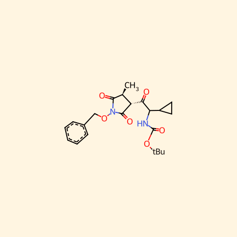 C[C@@H]1C(=O)N(OCc2ccccc2)C(=O)[C@H]1C(=O)C(NC(=O)OC(C)(C)C)C1CC1